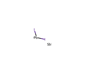 [I][Pb][I].[Sb]